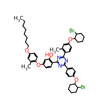 CCCCCCCCOc1ccc(Oc2ccc(-c3nc(-c4ccc(OC5CCCCC5Br)cc4)nc(-c4ccc(OC5CCCCC5Br)cc4C)n3)c(O)c2)c(C)c1